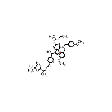 CCCC(C)Oc1nc(N(Cc2ccc(OC)cc2)Cc2ccc(OC)cc2)c2ncc(C(O)c3ccc(OCCN(C)C(=O)OC(C)(C)C)nc3)n2n1